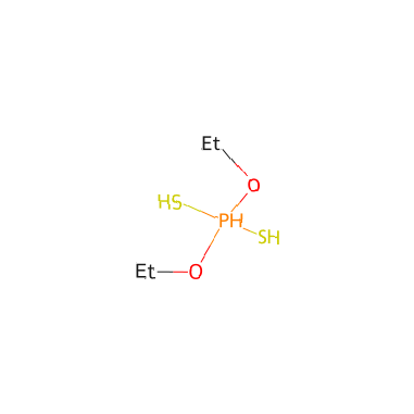 CCO[PH](S)(S)OCC